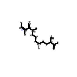 C=C(C)C(O)CC[C@H](C)CCCN(C)C(=O)/C(C)=C\C